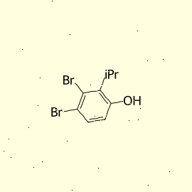 CC(C)c1c(O)ccc(Br)c1Br